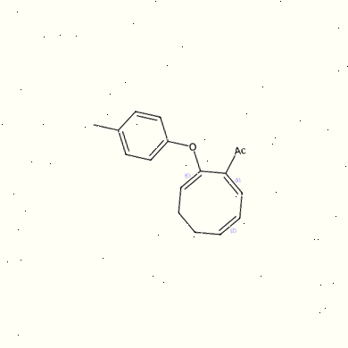 CC(=O)C1=C/C=C\CC/C=C\1Oc1ccc(C)cc1